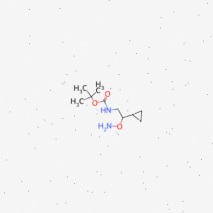 CC(C)(C)OC(=O)NCC(ON)C1CC1